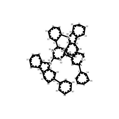 c1ccc(-c2cccc(-c3nc(-c4ccccc4-n4c5ccccc5c5ccccc54)nc(-n4c5ccccc5c5ccc(-c6ccccc6)cc54)n3)c2)cc1